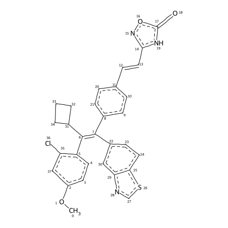 COc1ccc(C(=C(c2ccc(C=Cc3noc(=O)[nH]3)cc2)c2ccc3scnc3c2)C2CCC2)c(Cl)c1